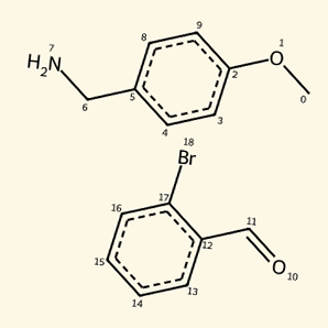 COc1ccc(CN)cc1.O=Cc1ccccc1Br